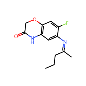 CCCC(C)=Nc1cc2c(cc1F)OCC(=O)N2